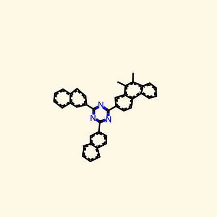 Cc1c(C)c2cc(-c3nc(-c4ccc5ccccc5c4)nc(-c4ccc5ccccc5c4)n3)ccc2c2ccccc12